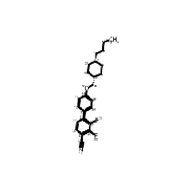 CCCC[C@H]1CC[C@H](COc2ccc(-c3ccc(C#N)c(F)c3F)cc2)CC1